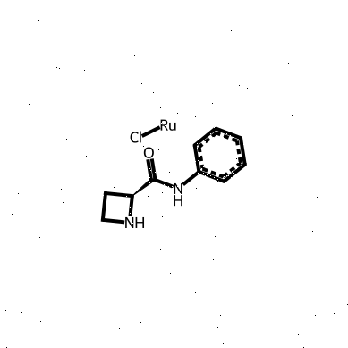 O=C(Nc1ccccc1)[C@@H]1CCN1.[Cl][Ru]